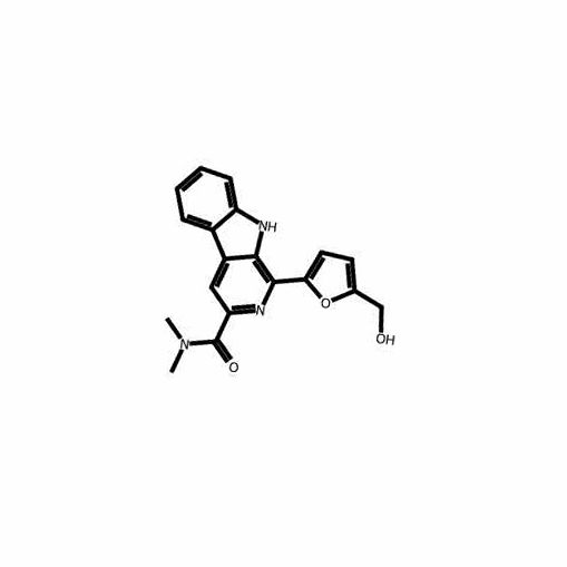 CN(C)C(=O)c1cc2c([nH]c3ccccc32)c(-c2ccc(CO)o2)n1